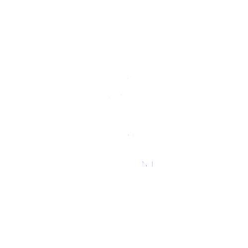 C=C1C[C@@H](OC2CCCCC2N)OC1=O